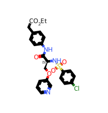 CCOC(=O)Cc1ccc(NC(=O)[C@H](COc2cccnc2)NS(=O)(=O)c2ccc(Cl)cc2)cc1